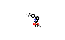 CS(=O)(=O)c1cnc2c(C3=CC[C@@H](C(F)(F)F)CC3)cccc2c1